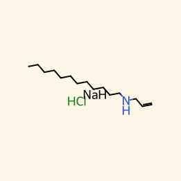 C=CCNCCCCCCCCCCCC.Cl.[NaH]